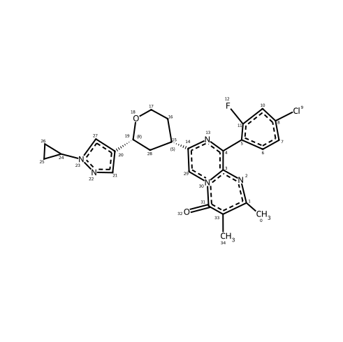 Cc1nc2c(-c3ccc(Cl)cc3F)nc([C@H]3CCO[C@@H](c4cnn(C5CC5)c4)C3)cn2c(=O)c1C